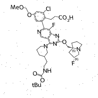 COCOc1cc(Cl)c(CCC(=O)O)c(-c2ncc3c(N4CCCC(CCNC(=O)OC(C)(C)C)C4)nc(OC[C@@]45CCCN4C[C@H](F)C5)nc3c2F)c1